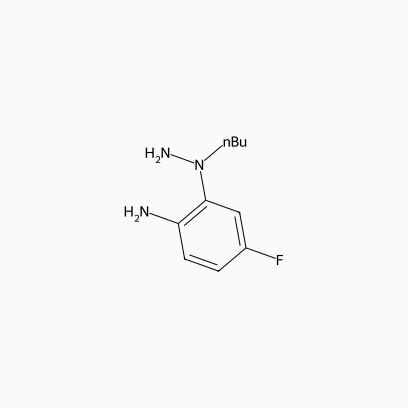 CCCCN(N)c1cc(F)ccc1N